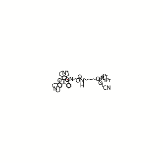 CC(C)N(C(C)C)P(OCCC#N)OCCCCCCNC(=O)OCCN(C)C(=O)c1ccccc1C1=c2cc3c4c(c2Oc2c1cc1c5c2CCCN5CCC1)CCC[N+]=4CCC3